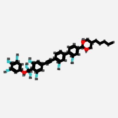 CCCCCC1COC(c2ccc(-c3ccc(C#Cc4cc(F)c(C(F)(F)Oc5cc(F)c(F)c(F)c5)c(F)c4)c(F)c3)c(F)c2)OC1